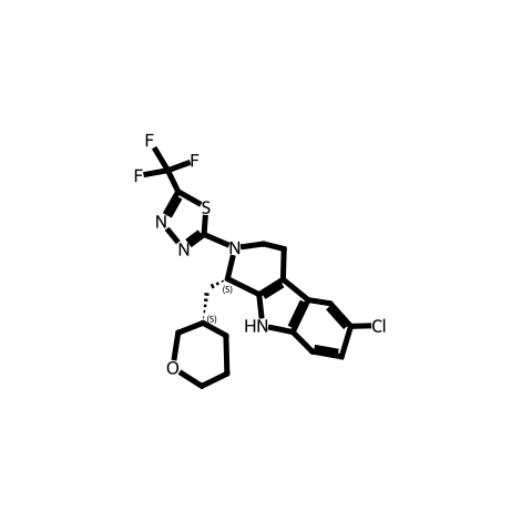 FC(F)(F)c1nnc(N2CCc3c([nH]c4ccc(Cl)cc34)[C@@H]2C[C@@H]2CCCOC2)s1